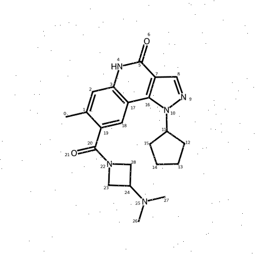 Cc1cc2[nH]c(=O)c3cnn(C4CCCC4)c3c2cc1C(=O)N1CC(N(C)C)C1